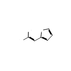 CC(=O)/C(=C/c1cccs1)C(C)C